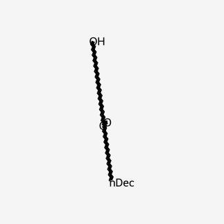 CCCCCCCCCCCCCCCCCCCCCCCCCCCCCCOC(=O)CCCCCCCCCCCCCCCCCCCCCCCCCCCCCO